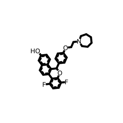 Oc1ccc2c3c(ccc2c1)-c1c(F)ccc(F)c1OC3c1ccc(OCCN2CCCCCC2)cc1